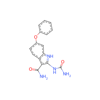 NC(=O)Nc1[nH]c2cc(Oc3ccccc3)ccc2c1C(N)=O